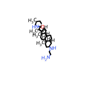 CC1CC[C@]2(NC1)O[C@H]1C[C@H]3[C@@H]4CC[C@H]5CC(NCCN)CC[C@]5(C)[C@H]4CC[C@]3(C)[C@H]1[C@@H]2C